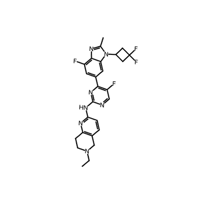 CCN1CCc2nc(Nc3ncc(F)c(-c4cc(F)c5nc(C)n(C6CC(F)(F)C6)c5c4)n3)ccc2C1